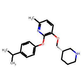 Cc1ccc(OC[C@H]2CCCNC2)c(Oc2ccc(C(C)C)cc2)n1